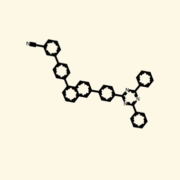 N#Cc1cccc(-c2ccc(-c3cccc4cc(-c5ccc(-c6nc(-c7ccccc7)nc(-c7ccccc7)n6)cc5)ccc34)cc2)c1